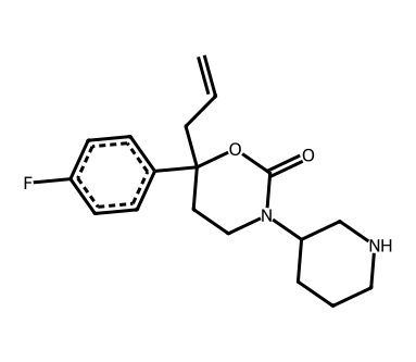 C=CCC1(c2ccc(F)cc2)CCN(C2CCCNC2)C(=O)O1